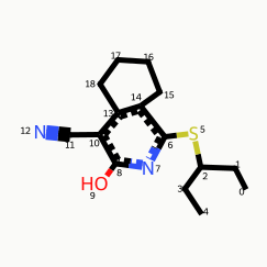 CCC(CC)Sc1nc(O)c(C#N)c2c1CCCC2